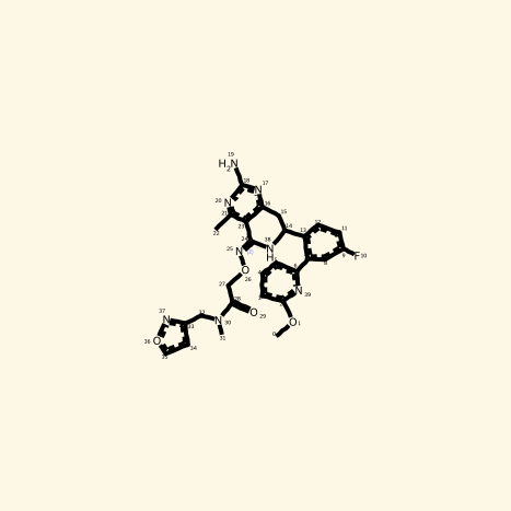 COc1cccc(-c2cc(F)ccc2C2Cc3nc(N)nc(C)c3/C(=N/OCC(=O)N(C)Cc3ccon3)N2)n1